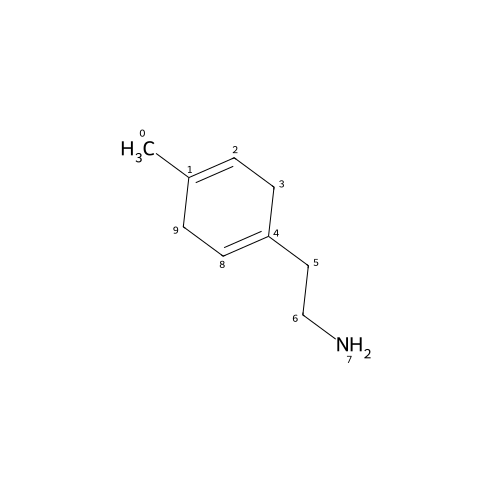 CC1=CCC(CCN)=CC1